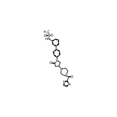 CS(=O)(=O)Nc1cccc(-c2ccc(N3CC(N4CCN(C(=O)c5nccs5)CC4)CC3=O)cc2)c1